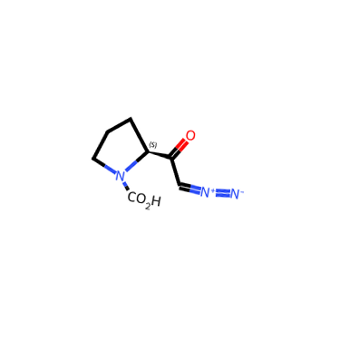 [N-]=[N+]=CC(=O)[C@@H]1CCCN1C(=O)O